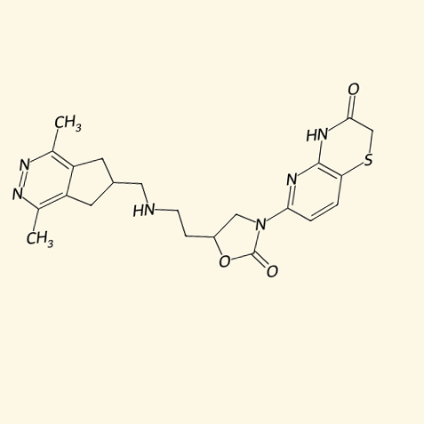 Cc1nnc(C)c2c1CC(CNCCC1CN(c3ccc4c(n3)NC(=O)CS4)C(=O)O1)C2